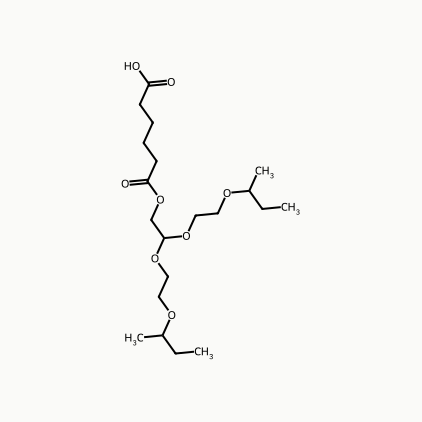 CCC(C)OCCOC(COC(=O)CCCCC(=O)O)OCCOC(C)CC